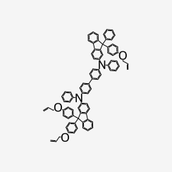 C=CCOc1ccc(C2(c3ccccc3)c3ccccc3-c3ccc(N(c4ccccc4)c4ccc(-c5ccc(N(c6ccccc6)c6ccc7c(c6)C(c6ccc(OCC=C)cc6)(c6ccc(OCC=C)cc6)c6ccccc6-7)cc5)cc4)cc32)cc1